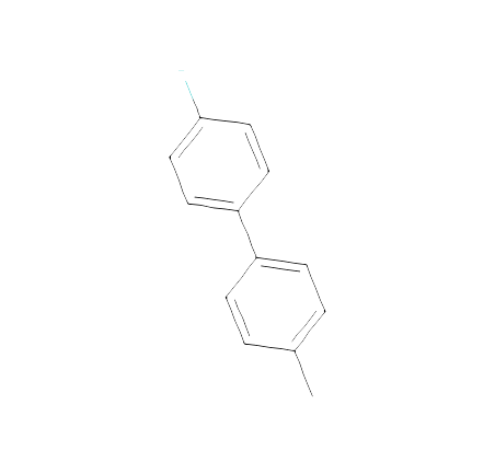 Cc1ccc(-c2ccc(F)cc2)cc1